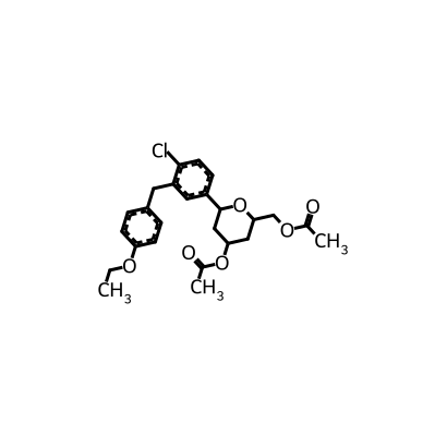 CCOc1ccc(Cc2cc(C3CC(OC(C)=O)CC(COC(C)=O)O3)ccc2Cl)cc1